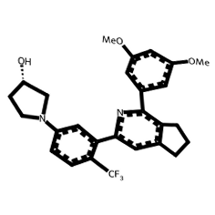 COc1cc(OC)cc(-c2nc(-c3cc(N4CC[C@H](O)C4)ccc3C(F)(F)F)cc3c2CCC3)c1